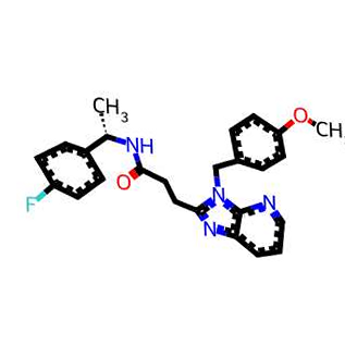 COc1ccc(Cn2c(CCC(=O)N[C@@H](C)c3ccc(F)cc3)nc3cccnc32)cc1